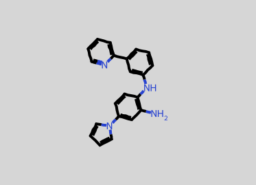 Nc1cc(-n2cccc2)ccc1Nc1cccc(-c2ccccn2)c1